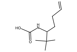 C=CCCC(NC(=O)O)C(C)(C)C